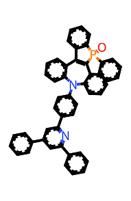 O=P1(c2ccccc2)C2=C(c3ccccc3N(c3ccc(-c4cc(-c5ccccc5)cc(-c5ccccc5)n4)cc3)c3ccccc32)c2ccccc21